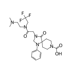 CN(C)CCN(CC(F)(F)F)C(=O)CN1CN(c2ccccc2)C2(CCN(C(=O)O)CC2)C1=O